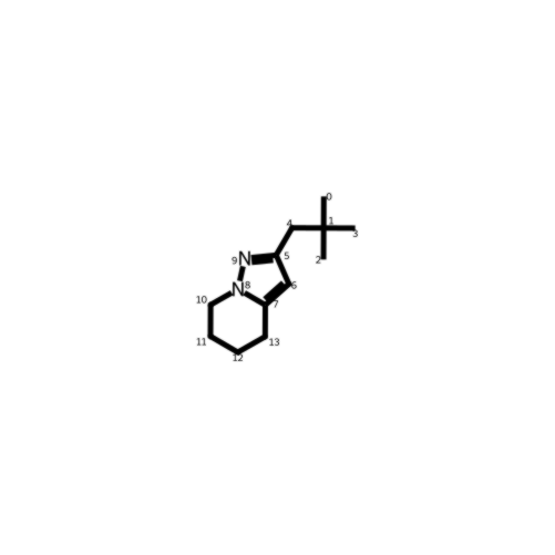 CC(C)(C)Cc1cc2n(n1)CCCC2